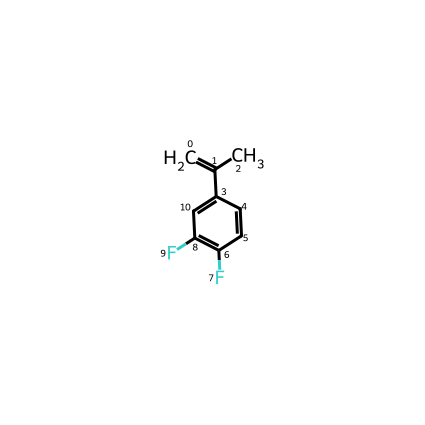 C=C(C)c1ccc(F)c(F)c1